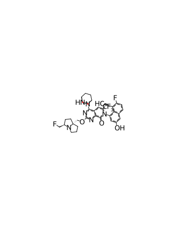 C#Cc1c(F)ccc2cc(O)cc(-n3c(C(F)(F)F)cc4c(N5CC6CCC5CN6)nc(OC[C@]56CCCN5[C@@H](CF)CC6)nc4c3=O)c12